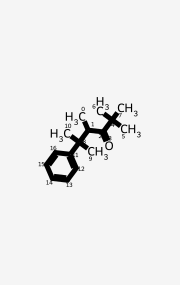 CC(C(=O)C(C)(C)C)C(C)(C)c1ccccc1